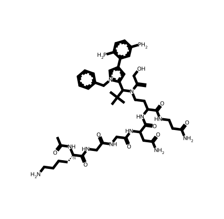 C=C(CO)N(CCC(NC(=O)C(CC(N)=O)NC(=O)CNC(=O)CNC(=O)[C@H](CCCCN)NC(C)=O)C(=O)NCCC(N)=O)C(c1cc(-c2cc(P)ccc2P)cn1Cc1ccccc1)C(C)(C)C